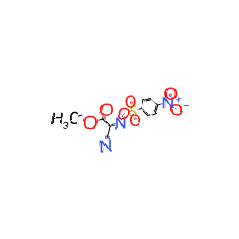 CCOC(=O)C(C#N)=NOS(=O)(=O)c1ccc([N+](=O)[O-])cc1